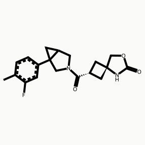 Cc1ccc(C23CC2CN(C(=O)[C@H]2C[C@]4(COC(=O)N4)C2)C3)cc1F